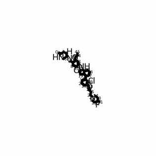 C=C1CC[C@H](NCc2cc(Cl)c(NC3CCc4c(-c5cccc(OCCCN6CCC(C)(F)CC6)c5Cl)cccc43)cc2OCC)CN1